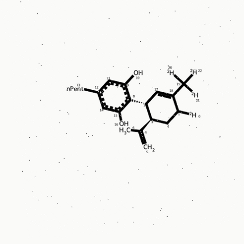 [2H]C1C[C@@H](C(=C)C)[C@H](c2c(O)cc(CCCCC)cc2O)C=C1C([2H])([2H])[2H]